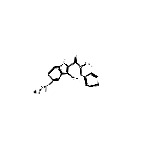 CCCCSNc1ccc2[nH]c(C(=O)N(C)Cc3ccccc3)c(C)c2c1